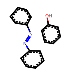 Oc1ccccc1.c1ccc(/N=N/c2ccccc2)cc1